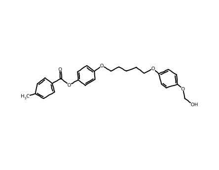 Cc1ccc(C(=O)Oc2ccc(OCCCCCOc3ccc(OCO)cc3)cc2)cc1